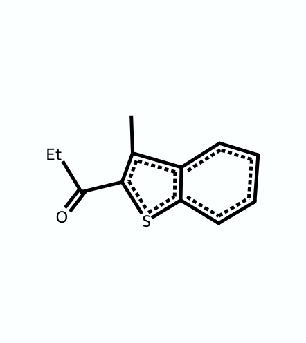 CCC(=O)c1sc2ccccc2c1C